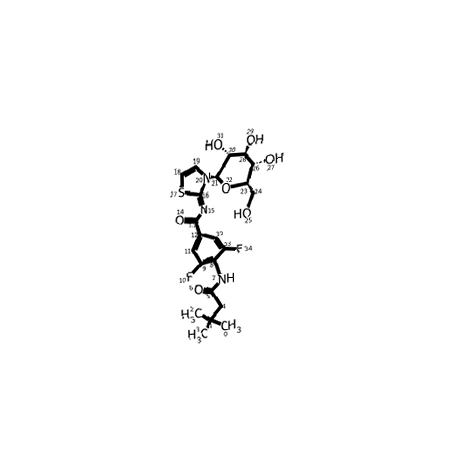 CC(C)(C)CC(=O)Nc1c(F)cc(C(=O)N=c2sccn2[C@@H]2O[C@H](CO)[C@@H](O)[C@H](O)[C@H]2O)cc1F